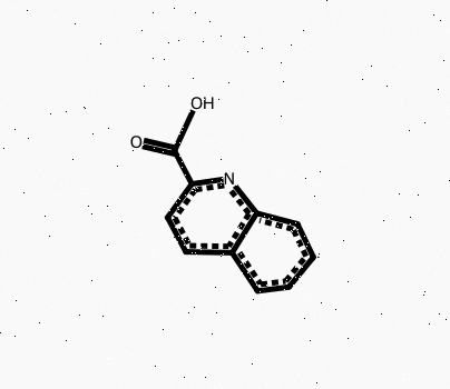 O=C(O)c1ccc2cc[c]cc2n1